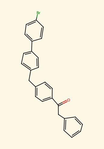 O=C(Cc1ccccc1)c1ccc(Cc2ccc(-c3ccc(Br)cc3)cc2)cc1